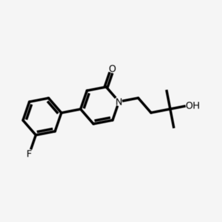 CC(C)(O)CCn1ccc(-c2cccc(F)c2)cc1=O